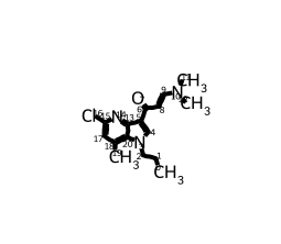 CCCn1cc(C(=O)C=CN(C)C)c2nc(Cl)cc(C)c21